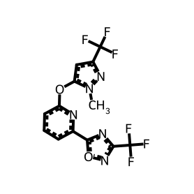 Cn1nc(C(F)(F)F)cc1Oc1cccc(-c2nc(C(F)(F)F)no2)n1